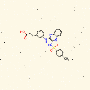 Cc1ccc(S(=O)(=O)Nc2nc3ccccc3nc2Nc2cccc(C=CC(=O)O)c2)cc1